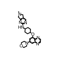 CN1Cc2cnc(NC3CCC(Oc4cc(N5CCOCC5)cc5nccnc45)CC3)nc2C1